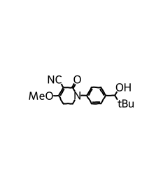 COC1=C(C#N)C(=O)N(c2ccc(C(O)C(C)(C)C)cc2)CC1